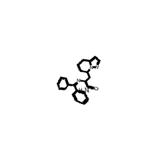 NC(=O)C(CC1CCCc2ccnn21)N=C(c1ccccc1)c1ccccc1